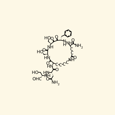 NC(=O)C[C@H](NN[C@H](C=O)CO)C(=O)NC1CCCCNC(=O)CCC(C(N)=O)NN[C@@H](Cc2ccccc2)C(=O)C(=O)[C@H](CO)NC(=O)[C@H](CO)NC1=O